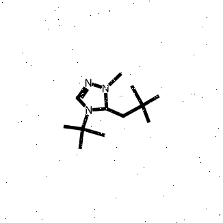 CN1N=CN(C(C)(C)C)C1CC(C)(C)C